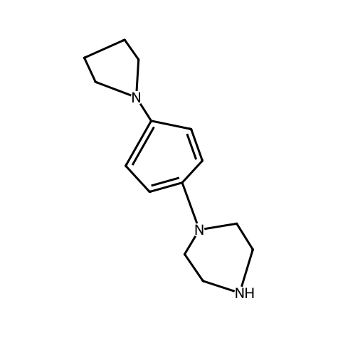 c1cc(N2CCNCC2)ccc1N1CCCC1